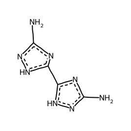 Nc1n[nH]c(-c2nc(N)n[nH]2)n1